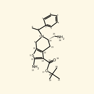 CC(c1ccccc1)N1Cc2sc(N)c(C(=O)OC(C)(C)C)c2C[C@H]1CN